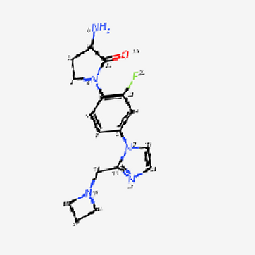 NC1CCN(c2ccc(-n3ccnc3CN3CCC3)cc2F)C1=O